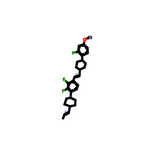 C/C=C/C1CCC(c2ccc(/C=C/C3CCC(c4ccc(OCC)cc4F)CC3)c(F)c2F)CC1